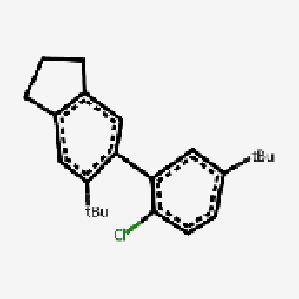 CC(C)(C)c1ccc(Cl)c(-c2cc3c(cc2C(C)(C)C)CCC3)c1